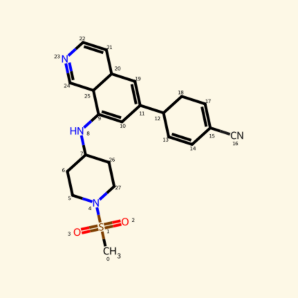 CS(=O)(=O)N1CCC(NC2=CC(C3C=CC(C#N)=CC3)=CC3C=CN=CC23)CC1